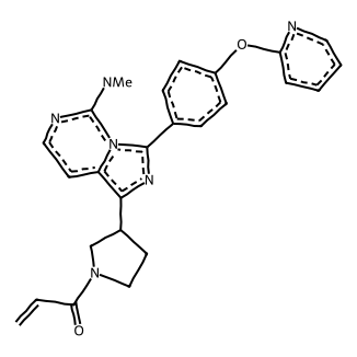 C=CC(=O)N1CCC(c2nc(-c3ccc(Oc4ccccn4)cc3)n3c(NC)nccc23)C1